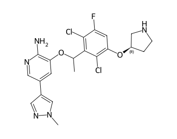 CC(Oc1cc(-c2cnn(C)c2)cnc1N)c1c(Cl)c(F)cc(O[C@@H]2CCNC2)c1Cl